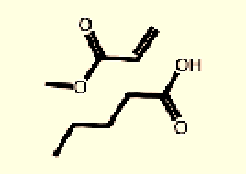 C=CC(=O)OC.CCCCC(=O)O